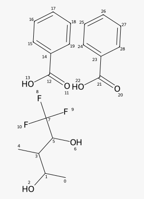 CC(O)C(C)C(O)C(F)(F)F.O=C(O)c1ccccc1.O=C(O)c1ccccc1